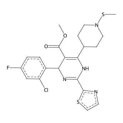 COC(=O)C1=C(C2CCN(SC)CC2)NC(c2nccs2)=NC1c1ccc(F)cc1Cl